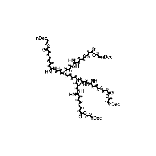 CCCCCCCCCCCCOC(=O)CCSCCCC(=N)NCCCN(CCCCN(CCCNC(=N)CCCSCCC(=O)OCCCCCCCCCCCC)CCCNC(=N)CCCSCCC(=O)OCCCCCCCCCCCC)CCCNC(=N)CCCSCCC(=O)OCCCCCCCCCCCC